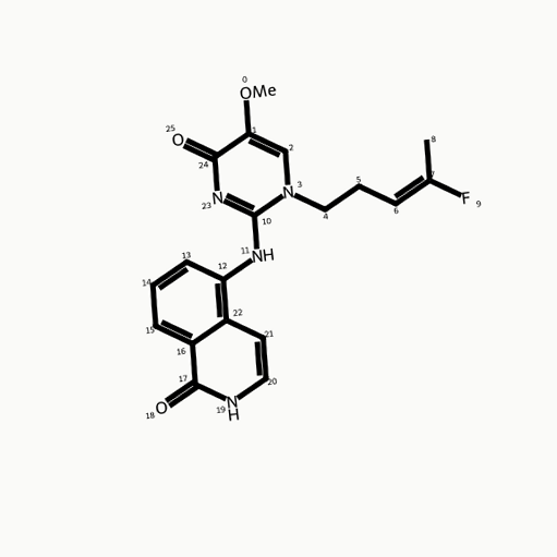 COc1cn(CC/C=C(\C)F)c(Nc2cccc3c(=O)[nH]ccc23)nc1=O